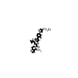 CCOC(=O)c1cnn(-c2ccc(-c3cc4nc(C(=O)N5CCc6sccc6C5C)cc(C5(C)CC5)n4n3)c(F)c2)c1